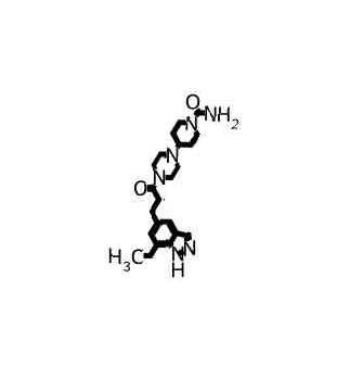 CCc1cc(C[CH]C(=O)N2CCN(C3CCN(C(N)=O)CC3)CC2)cc2cn[nH]c12